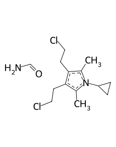 Cc1c(CCCl)c(CCCl)c(C)n1C1CC1.NC=O